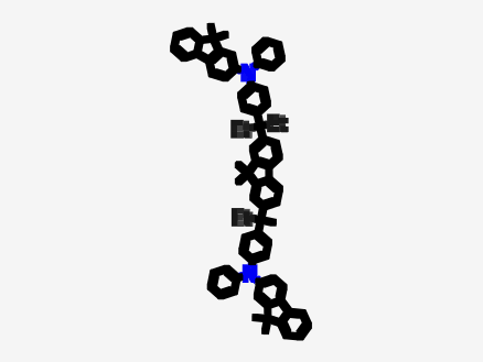 CCC(C)(c1ccc(N(c2ccccc2)c2ccc3c(c2)C(C)(C)c2ccccc2-3)cc1)c1ccc2c(c1)C(C)(C)c1cc(C(CC)(CC)c3ccc(N(c4ccccc4)c4ccc5c(c4)C(C)(C)C4C=CC=CC54)cc3)ccc1-2